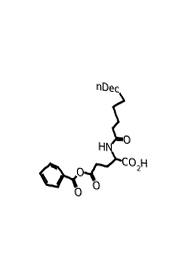 CCCCCCCCCCCCCCC(=O)NC(CCC(=O)OC(=O)c1ccccc1)C(=O)O